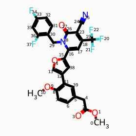 COC(=O)Cc1ccc(OC)c(-c2coc(-c3cc(C(F)(F)F)c(C#N)c(=O)n3Cc3ccc(F)cc3F)c2)c1